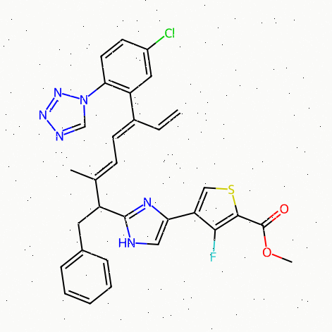 C=C/C(=C\C=C(/C)C(Cc1ccccc1)c1nc(-c2csc(C(=O)OC)c2F)c[nH]1)c1cc(Cl)ccc1-n1cnnn1